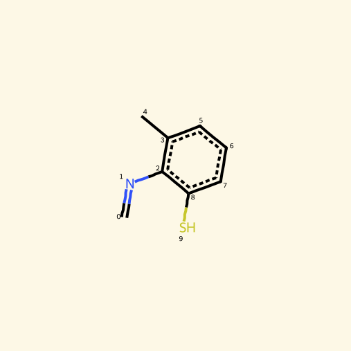 C=Nc1c(C)cccc1S